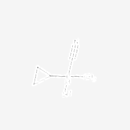 C[PH](S)(C#N)C1CC1